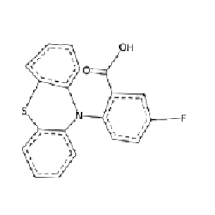 O=C(O)c1cc(F)ccc1N1c2ccccc2Sc2ccccc21